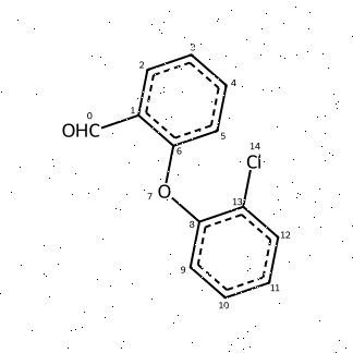 O=Cc1ccccc1Oc1ccccc1Cl